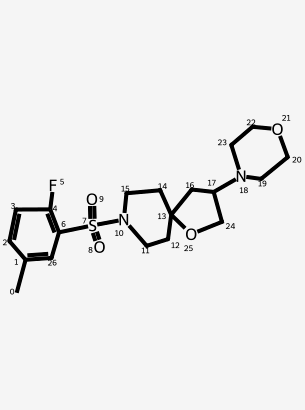 Cc1ccc(F)c(S(=O)(=O)N2CCC3(CC2)CC(N2CCOCC2)CO3)c1